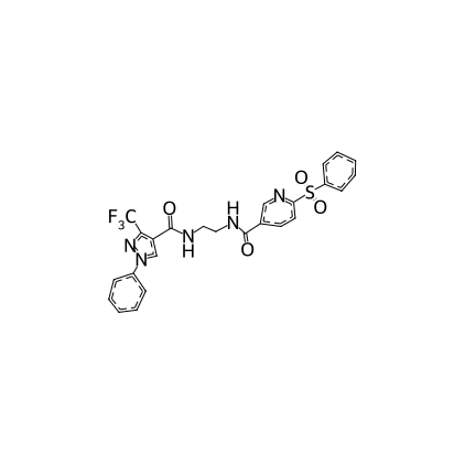 O=C(NCCNC(=O)c1cn(-c2ccccc2)nc1C(F)(F)F)c1ccc(S(=O)(=O)c2ccccc2)nc1